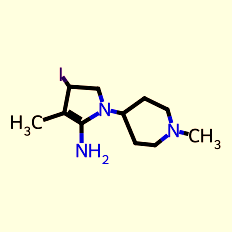 CC1=C(N)N(C2CCN(C)CC2)CC1I